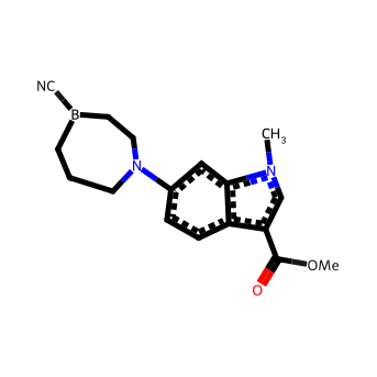 COC(=O)c1cn(C)c2cc(N3CCCB(C#N)CC3)ccc12